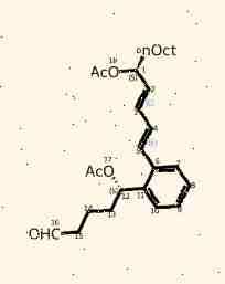 CCCCCCCC[C@@H](/C=C/C=C/c1ccccc1[C@H](CCCC=O)OC(C)=O)OC(C)=O